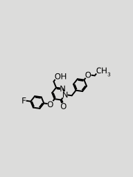 CCOc1ccc(Cn2nc(CO)cc(Oc3ccc(F)cc3)c2=O)cc1